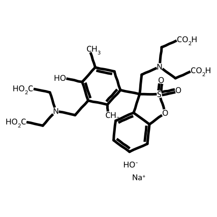 Cc1cc(C2(CN(CC(=O)O)CC(=O)O)c3ccccc3OS2(=O)=O)c(C)c(CN(CC(=O)O)CC(=O)O)c1O.[Na+].[OH-]